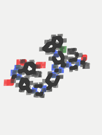 CCC(=O)N1CCN(c2nc(N3CCC(CN4CCN(Cc5ccc(-n6c(O)nnc6-c6cc(CC)c(O)cc6O)cc5)CC4)CC3)nc3c2CCN(c2cccc4cccc(Cl)c24)C3)C[C@@H]1CC#N